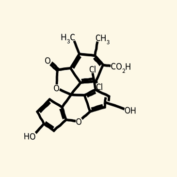 Cc1c(C)c2c(c(Cl)c1C(=O)O)C1(OC2=O)c2ccc(O)cc2Oc2cc(O)cc(Cl)c21